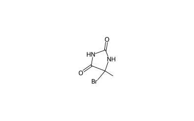 CC1(Br)NC(=O)NC1=O